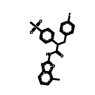 Cc1cccc2nc(NC(=O)C(Cc3ccc(F)cc3)c3ccc(S(C)(=O)=O)cc3)oc12